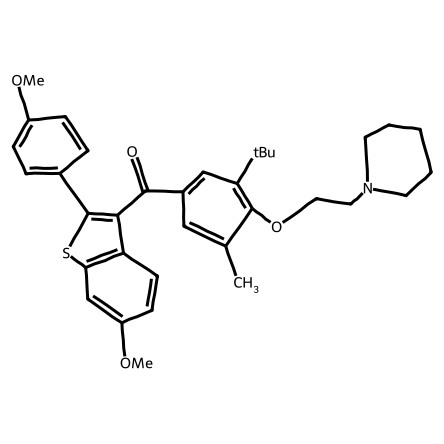 COc1ccc(-c2sc3cc(OC)ccc3c2C(=O)c2cc(C)c(OCCN3CCCCC3)c(C(C)(C)C)c2)cc1